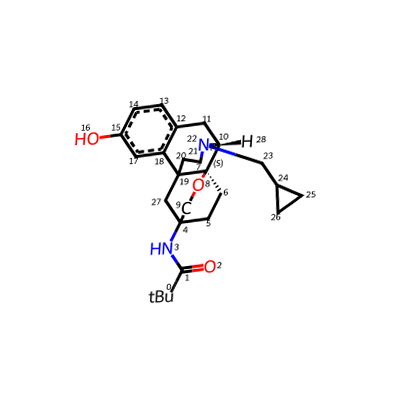 CC(C)(C)C(=O)NC12CC[C@@]3(OC1)[C@H]1Cc4ccc(O)cc4C3(CCN1CC1CC1)C2